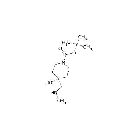 CNCC1(O)CCN(C(=O)OC(C)(C)C)CC1